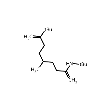 C=C(CCC(C)CCC(=C)C(C)(C)C)NC(C)(C)C